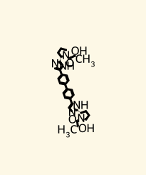 CC(O)C(=O)N1CCC[C@H]1c1ncc(-c2ccc(-c3ccc(-c4cnc([C@@H]5CCCN5C(=O)[C@@H](C)O)[nH]4)cc3)cc2)[nH]1